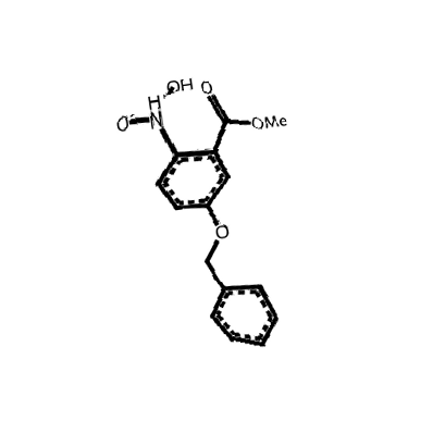 COC(=O)c1cc(OCc2ccccc2)ccc1[NH+]([O-])O